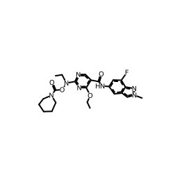 CCOc1nc(N(CC)OC(=O)N2CCCCC2)ncc1C(=O)Nc1cc(F)c2nn(C)cc2c1